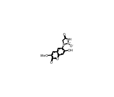 COc1cc2cc(N3CC(=O)N[S+]3[O-])c(O)cc2oc1=O